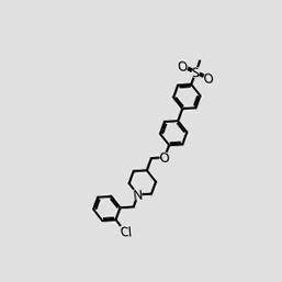 CS(=O)(=O)c1ccc(-c2ccc(OCC3CCN(Cc4ccccc4Cl)CC3)cc2)cc1